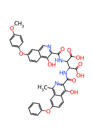 COc1ccc(Oc2ccc3c(O)c(C(=O)NC(C(=O)O)C(NC(=O)c4nc(C)c5cc(Oc6ccccc6)ccc5c4O)C(=O)O)ncc3c2)cc1